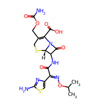 CC(C)ON=C(C(=O)NC1C(=O)N2C(C(=O)O)=C(COC(N)=O)CS[C@@H]12)c1csc(N)n1